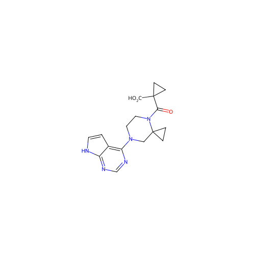 O=C(O)C1(C(=O)N2CCN(c3ncnc4[nH]ccc34)CC23CC3)CC1